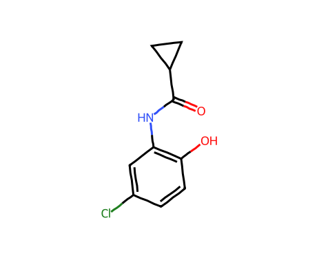 O=C(Nc1cc(Cl)ccc1O)C1CC1